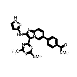 CNC(=O)c1ccc(-c2ccc3nc(Nc4cc[nH]n4)c(-c4nc(C)nc(NC)n4)n3c2)cc1